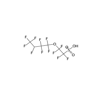 O=S(=O)(O)C(F)(F)C(F)(F)OC(F)(F)C(F)(F)C(F)C(F)(F)F